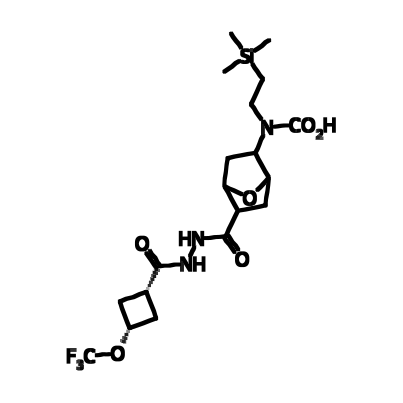 C[Si](C)(C)CCN(C(=O)O)C1CC2OC1CC2C(=O)NNC(=O)[C@H]1C[C@@H](OC(F)(F)F)C1